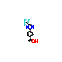 C[C@H](O)c1ccc(-c2nc(C(F)(F)F)cn2C)cc1